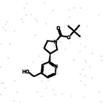 CC(C)(C)OC(=O)N1CC[C@H](c2cc(CO)ccn2)C1